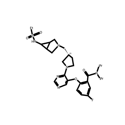 CCS(=O)(=O)NC1C2CN(C[C@@H]3CCN(c4ncncc4Oc4ccc(F)cc4C(=O)N(C(C)C)C(C)C)C3)CC21